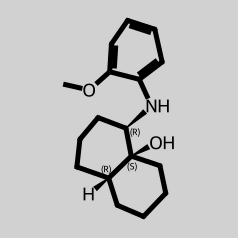 COc1ccccc1N[C@@H]1CCC[C@H]2CCCC[C@]21O